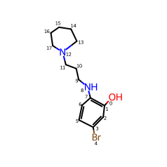 Oc1cc(Br)ccc1NCCCN1CCCCC1